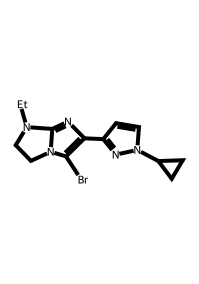 CCN1CCn2c1nc(-c1ccn(C3CC3)n1)c2Br